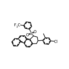 Cc1cc(Cl)ccc1C1Cc2ccc3c(ccc4ccccc43)c2C(S(=O)(=O)c2cccc(C(F)(F)F)c2)C1